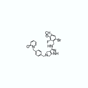 COc1ccc(Br)c(CNc2n[nH]c3c2CN(Cc2ccc(Cn4ccccc4=O)cc2)C3)c1F